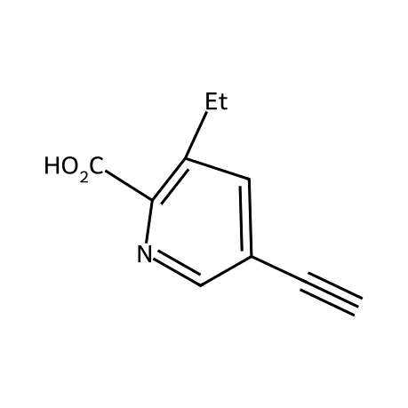 C#Cc1cnc(C(=O)O)c(CC)c1